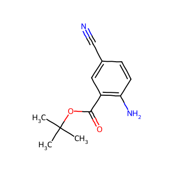 CC(C)(C)OC(=O)c1cc(C#N)ccc1N